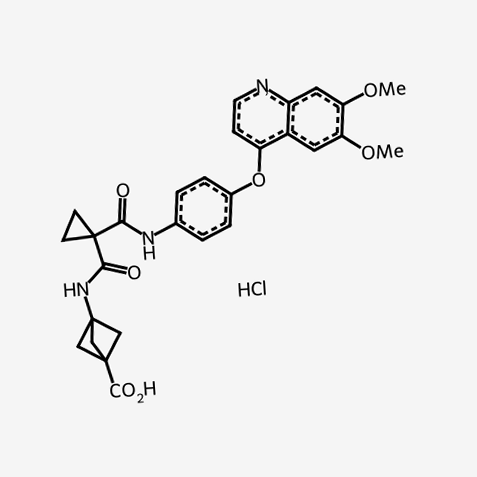 COc1cc2nccc(Oc3ccc(NC(=O)C4(C(=O)NC56CC(C(=O)O)(C5)C6)CC4)cc3)c2cc1OC.Cl